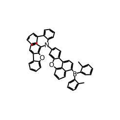 Cc1ccccc1B(c1ccccc1C)c1ccc2c3c(cccc13)Oc1cc(N(c3ccccc3-c3ccccc3)c3cccc4c3oc3ccccc34)ccc1-2